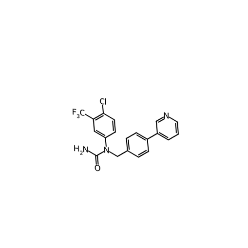 NC(=O)N(Cc1ccc(-c2cccnc2)cc1)c1ccc(Cl)c(C(F)(F)F)c1